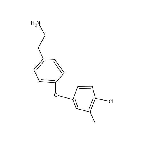 Cc1cc(Oc2ccc(CCN)cc2)ccc1Cl